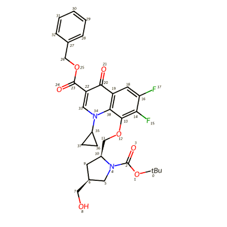 CC(C)(C)OC(=O)N1C[C@@H](CO)C[C@H]1COc1c(F)c(F)cc2c(=O)c(C(=O)OCc3ccccc3)cn(C3CC3)c12